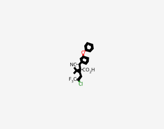 CC1(C)C(/C=C(/Cl)C(F)(F)F)[C@]1(C(=O)O)[C@H](C#N)c1cccc(Oc2ccccc2)c1